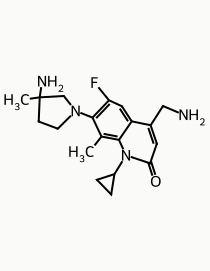 Cc1c(N2CCC(C)(N)C2)c(F)cc2c(CN)cc(=O)n(C3CC3)c12